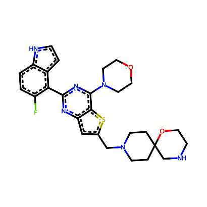 Fc1ccc2[nH]ccc2c1-c1nc(N2CCOCC2)c2sc(CN3CCC4(CC3)CNCCO4)cc2n1